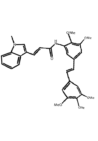 COc1cc(C=Cc2cc(OC)c(OC)c(OC)c2)cc(NC(=O)/C=C/c2cn(C)c3ccccc23)c1OC